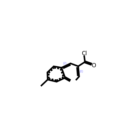 C=c1cc(C)cc/c1=C/C(=C\C)C(=O)Cl